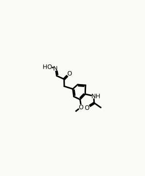 COc1cc(CC(=O)C=NO)ccc1NC(C)=O